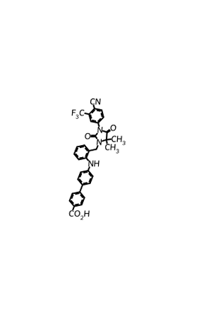 CC1(C)C(=O)N(c2ccc(C#N)c(C(F)(F)F)c2)C(=O)N1Cc1ccccc1Nc1ccc(-c2ccc(C(=O)O)cc2)cc1